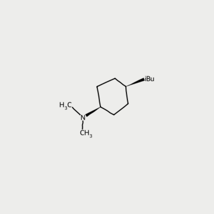 CCC(C)[C@H]1CC[C@@H](N(C)C)CC1